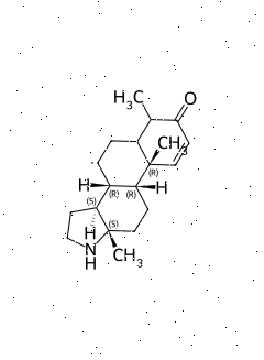 CC1C(=O)C=C[C@@]2(C)C1C[CH][C@@H]1[C@H]2CC[C@]2(C)NCC[C@@H]12